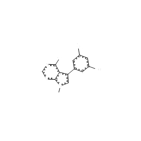 CC(C)n1cc(-c2cc(O)cc(C(F)(F)F)c2)c2c(Cl)ncnc21